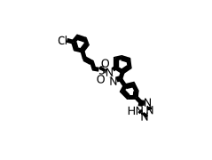 O=S(=O)(CC=Cc1cccc(Cl)c1)n1nc(-c2ccc(-c3nnn[nH]3)cc2)c2ccccc21